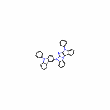 C1=CC2c3cc(-n4c5ccccc5n5c6c7ccccc7n(-c7ccccc7)c6nc45)ccc3N(c3ccccc3)C2C=C1